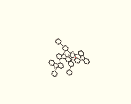 c1ccc(-c2ccc(-c3nc(-c4ccc(-c5ccccc5)cc4-n4c5cc(-c6ccccc6)ccc5c5c(-c6cccc7c6c6ccccc6n7-c6ccccc6)cccc54)nc(-c4cccc5c4sc4ccccc45)n3)cc2)cc1